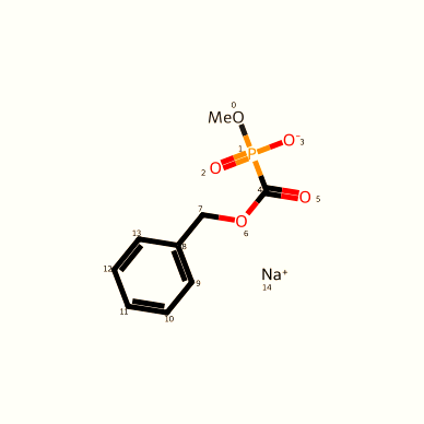 COP(=O)([O-])C(=O)OCc1ccccc1.[Na+]